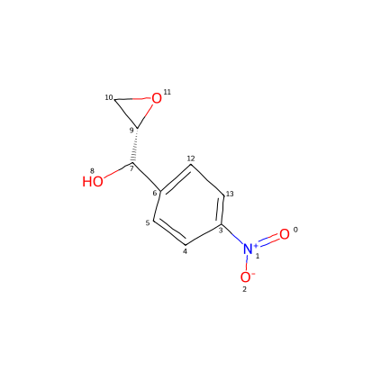 O=[N+]([O-])c1ccc(C(O)[C@@H]2CO2)cc1